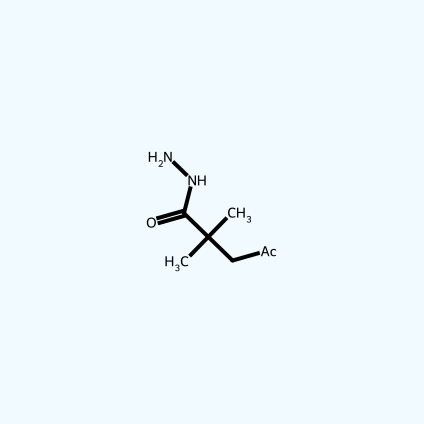 CC(=O)CC(C)(C)C(=O)NN